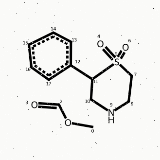 COC=O.O=S1(=O)CCNCC1c1ccccc1